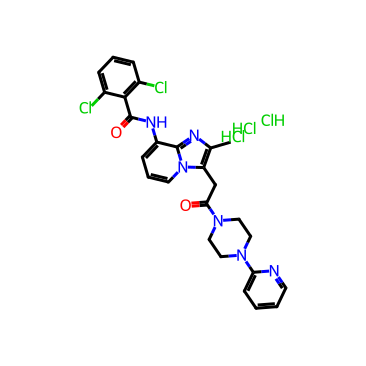 Cc1nc2c(NC(=O)c3c(Cl)cccc3Cl)cccn2c1CC(=O)N1CCN(c2ccccn2)CC1.Cl.Cl.Cl